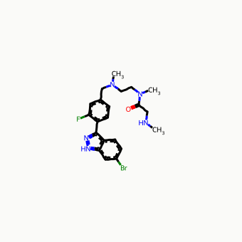 CNCC(=O)N(C)CCN(C)Cc1ccc(-c2n[nH]c3cc(Br)ccc23)c(F)c1